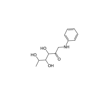 CC(O)C(O)C(O)C(=O)CNc1ccccc1